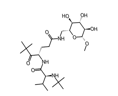 CO[C@@H]1O[C@H](CNC(=O)CC[C@H](NC(=O)[C@@H](NC(C)(C)C)C(C)C)C(=O)C(C)(C)C)[C@@H](O)[C@H](O)[C@H]1O